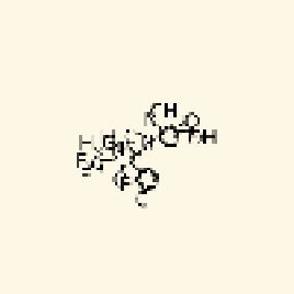 C=Nc1cc(C(=O)O)ccc1N(CC)C[C@H](CN(C)CC1CC(F)(F)C1)C(C=O)c1cccc(Cl)c1F